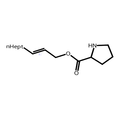 CCCCCCC/C=C/COC(=O)C1CCCN1